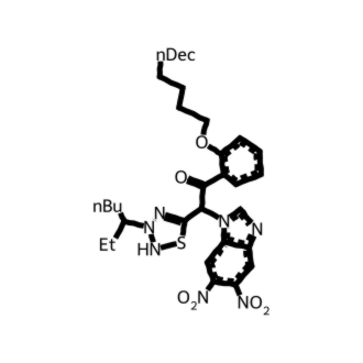 CCCCCCCCCCCCCCOc1ccccc1C(=O)C(C1=NN(C(CC)CCCC)NS1)n1cnc2cc([N+](=O)[O-])c([N+](=O)[O-])cc21